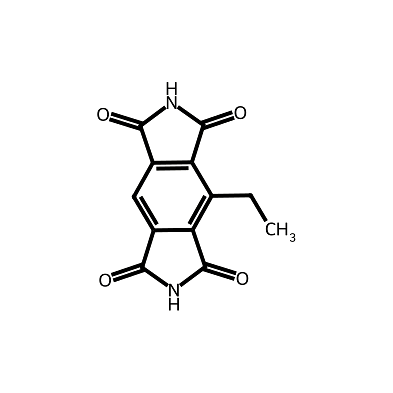 CCc1c2c(=O)[nH]c(=O)c2cc2c(=O)[nH]c(=O)c12